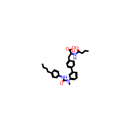 CCCCc1ccc(NC(=O)N(C)c2cccc(-c3ccc(CC(NC(=O)CCC)C(=O)O)cc3)c2)cc1